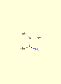 CCCCC(N)N(CCC)CCC